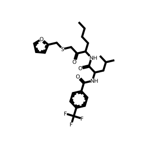 CCCCC(NC(=O)C(CC(C)C)NC(=O)c1ccc(C(F)(F)F)cc1)C(=O)CSCc1ccco1